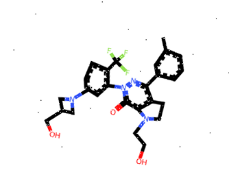 Cc1cccc(-c2nn(-c3cc(N4CC(CO)C4)ccc3C(F)(F)F)c(=O)c3c2CCN3CCO)c1